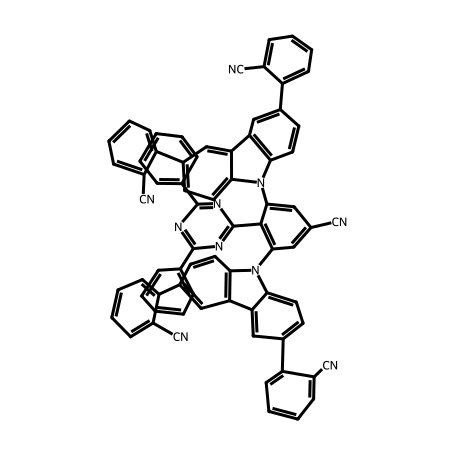 N#Cc1cc(-n2c3ccc(-c4ccccc4C#N)cc3c3cc(-c4ccccc4C#N)ccc32)c(-c2nc(-c3ccccc3)nc(-c3ccccc3)n2)c(-n2c3ccc(-c4ccccc4C#N)cc3c3cc(-c4ccccc4C#N)ccc32)c1